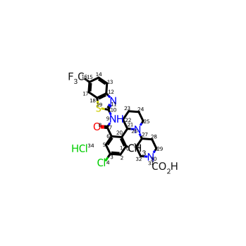 Cc1cc(Cl)cc(C(=O)Nc2nc3ccc(C(F)(F)F)cc3s2)c1C1CCCCN1C1CCN(C(=O)O)CC1.Cl